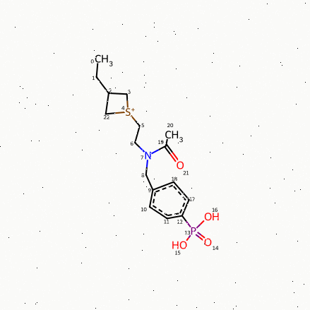 CCC1C[S+](CCN(Cc2ccc(P(=O)(O)O)cc2)C(C)=O)C1